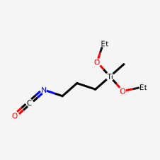 CC[O][Ti]([CH3])([CH2]CCN=C=O)[O]CC